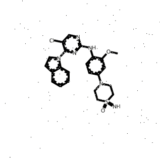 COc1cc(N2CCS(=N)(=O)CC2)ccc1Nc1ncc(Cl)c(-n2ccc3ccccc32)n1